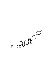 CCCCCCC(=O)Oc1ccc(OC(=O)C2CCC(C3CCC(C)CC3)CC2)cc1